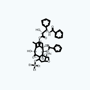 CC[Si](CC)(CC)OC1CC2OC[C@@]2(OC(C)=O)[C@H]2[C@H](OC(=O)c3ccccc3)[C@]3(O)C[C@H](OC(=O)[C@H](O)[C@@H](NC(=O)c4ccccc4)c4ccccc4)C(C)=C([C@@H](O)C(=O)[C@]12C)C3(C)C